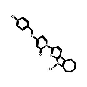 Cn1c2c(c3ccc(-n4ccc(OCc5ccc(Cl)cc5)cc4=O)nc31)CCCCC2